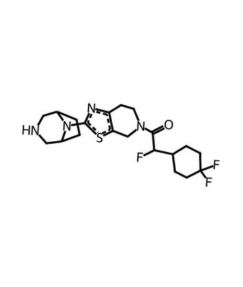 O=C(C(F)C1CCC(F)(F)CC1)N1CCc2nc(N3C4CCC3CNC4)sc2C1